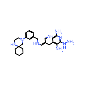 N=C/C(=C\NCc1cccc(N2CCNC3(CCCCC3)C2)c1)Cc1cc(N)nc(NN)c1N